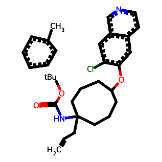 C=CCC1(NC(=O)OC(C)(C)C)CCCC(Oc2cc3ccncc3cc2Cl)CCC1.Cc1ccccc1